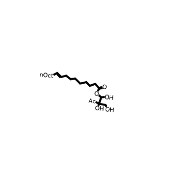 CCCCCCCCC=CCCCCCCCC(=O)OC(O)C(O)(CO)C(C)=O